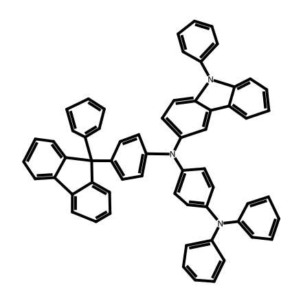 c1ccc(N(c2ccccc2)c2ccc(N(c3ccc(C4(c5ccccc5)c5ccccc5-c5ccccc54)cc3)c3ccc4c(c3)c3ccccc3n4-c3ccccc3)cc2)cc1